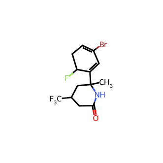 CC1(C2=CC(Br)=CCC2F)CC(C(F)(F)F)CC(=O)N1